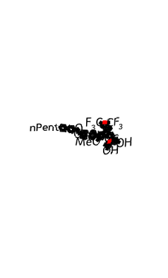 CCCCCC1CCC(C2CCC(C(=O)Oc3ccc(N4CCN(c5cc6c7c(c8c(c6cc5OC)OC(c5ccc(O)cc5)(c5ccc(O)cc5)C=C8)C(C)(C)c5c-7cc(C(F)(F)F)cc5C(F)(F)F)CC4)cc3)CC2)CC1